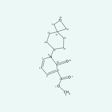 COC(=O)c1cccn(C2CCC3(CC2)COC3)c1=O